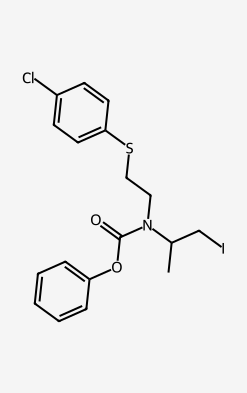 CC(CI)N(CCSc1ccc(Cl)cc1)C(=O)Oc1ccccc1